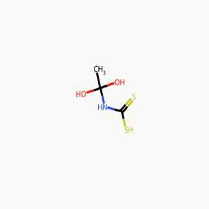 CC(O)(O)NC(=S)S